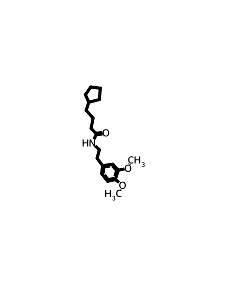 COc1ccc(CCNC(=O)CCCC2CCCC2)cc1OC